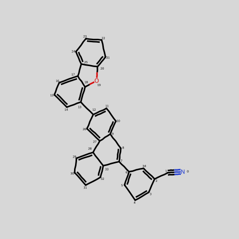 N#Cc1cccc(-c2cc3ccc(-c4cccc5c4oc4ccccc45)cc3c3ccccc23)c1